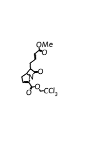 COC(=O)C=CCC1C(=O)N2C(C(=O)OCC(Cl)(Cl)Cl)=CCC12